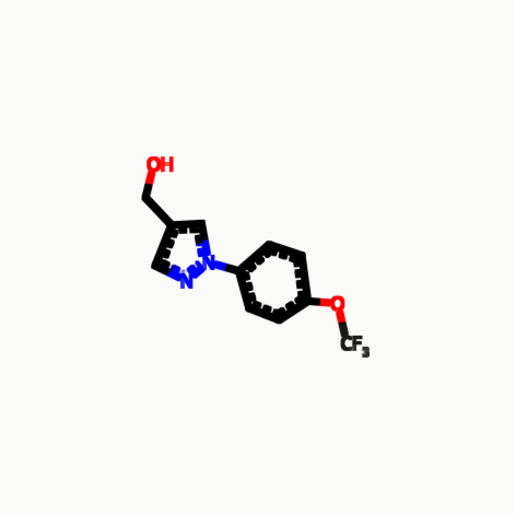 OCc1cnn(-c2ccc(OC(F)(F)F)cc2)c1